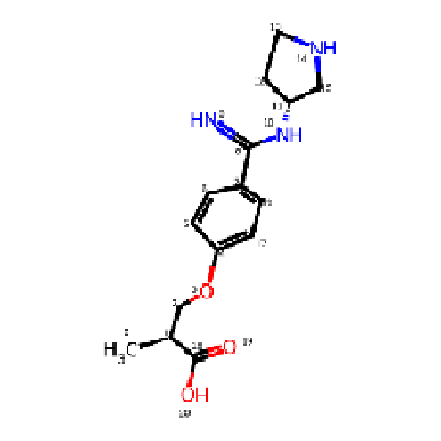 C[C@@H](COc1ccc(C(=N)N[C@@H]2CCNC2)cc1)C(=O)O